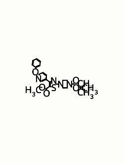 COC(=O)c1sc(N2CCN(C(=O)OC(C)(C)C)CC2)nc1-c1ccc(Oc2ccccc2)nc1